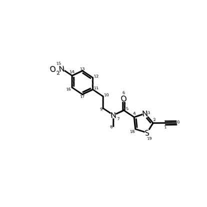 C#Cc1nc(C(=O)N(C)CCc2ccc([N+](=O)[O-])cc2)cs1